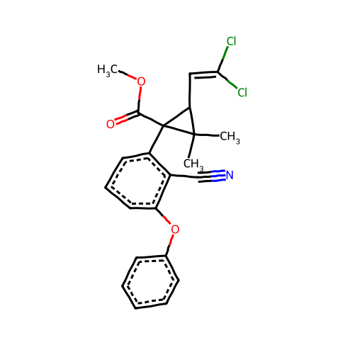 COC(=O)C1(c2cccc(Oc3ccccc3)c2C#N)C(C=C(Cl)Cl)C1(C)C